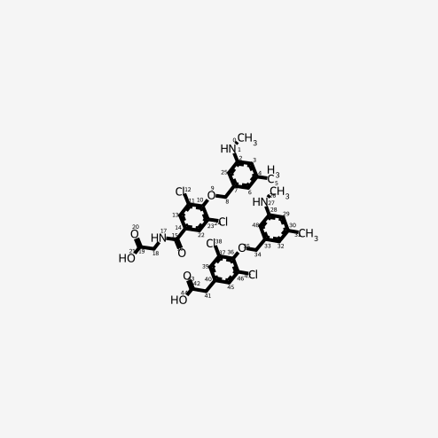 CNc1cc(C)cc(COc2c(Cl)cc(C(=O)NCC(=O)O)cc2Cl)c1.CNc1cc(C)cc(COc2c(Cl)cc(CC(=O)O)cc2Cl)c1